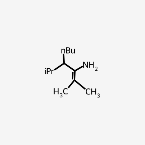 CCCCC(C(N)=C(C)C)C(C)C